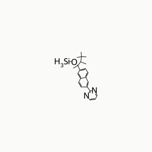 CC(C(C)(C)C)C(C)(O[SiH3])c1ccc2cc(-c3ncccn3)ccc2c1